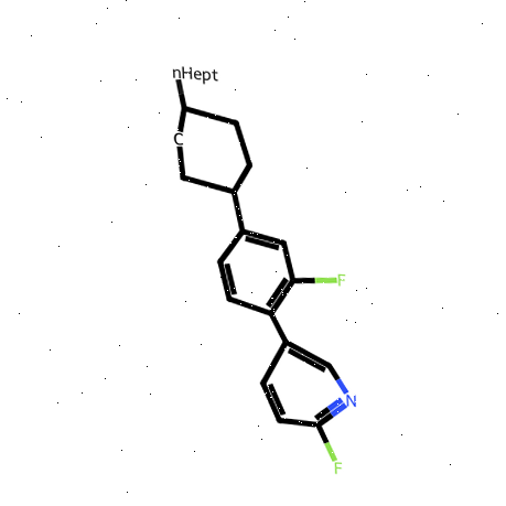 CCCCCCCC1CCC(c2ccc(-c3ccc(F)nc3)c(F)c2)CC1